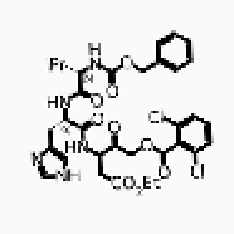 CCOC(=O)CC(NC(=O)[C@H](Cc1c[nH]cn1)NC(=O)[C@@H](NC(=O)OCc1ccccc1)C(C)C)C(=O)COC(=O)c1c(Cl)cccc1Cl